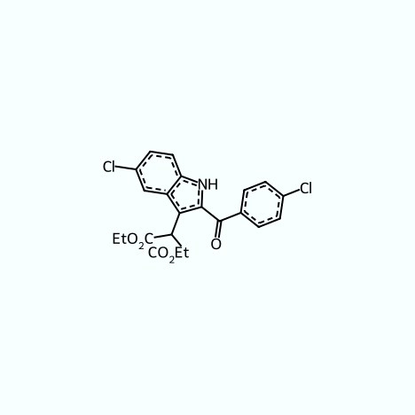 CCOC(=O)C(C(=O)OCC)c1c(C(=O)c2ccc(Cl)cc2)[nH]c2ccc(Cl)cc12